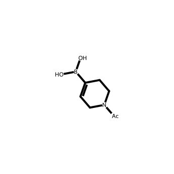 CC(=O)N1CC=C(B(O)O)CC1